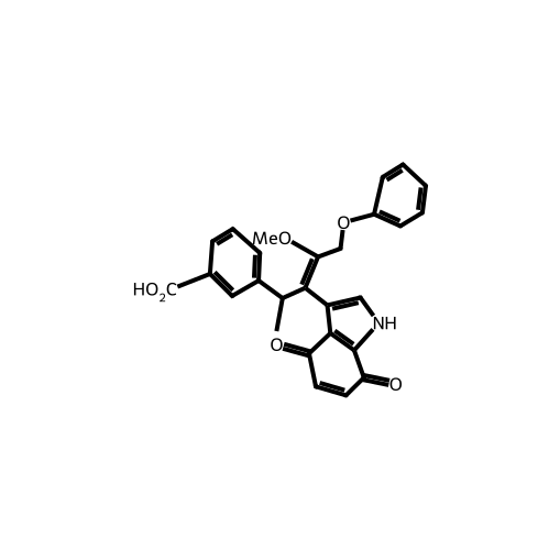 COC(COc1ccccc1)=C(c1c[nH]c2c1C(=O)C=CC2=O)C(C)c1cccc(C(=O)O)c1